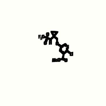 COC(=O)c1cc(OCC2(NS(=O)(=O)C(F)(F)F)CC2)cnc1Cl